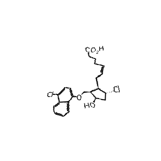 O=C(O)CCC/C=C\C[C@@H]1[C@H](COc2ccc(Cl)c3ccccc23)[C@H](O)C[C@H]1Cl